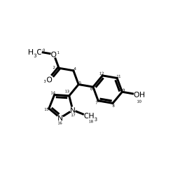 COC(=O)CC(c1ccc(O)cc1)c1ccnn1C